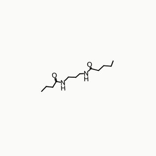 CCCCC(=O)NCCCNC(=O)CCC